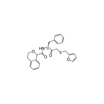 O=C(N[C@@H](Cc1ccccc1)C(=O)CSCc1ccco1)C1OCCc2ccccc21